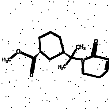 COC(=O)[C@@H]1CCC[C@H](C(C)(C)N2CCC=CC2=O)C1